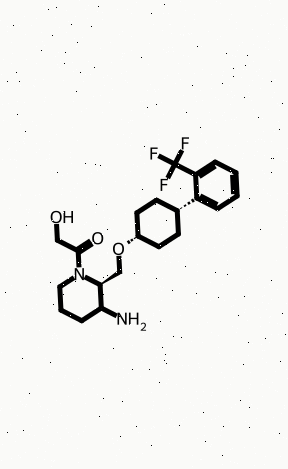 NC1CCCN(C(=O)CO)[C@H]1CO[C@H]1CC[C@@H](c2ccccc2C(F)(F)F)CC1